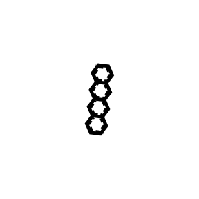 [c]1ccc2cc3cc4c[c]ccc4cc3cc2c1